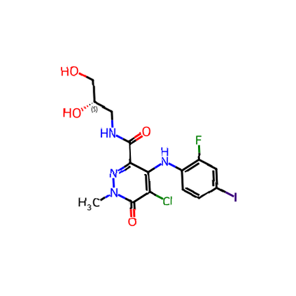 Cn1nc(C(=O)NC[C@H](O)CO)c(Nc2ccc(I)cc2F)c(Cl)c1=O